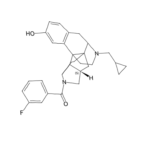 O=C(c1cccc(F)c1)N1C[C@H]2CC34CCC1C2C31CCN(CC2CC2)C4Cc2ccc(O)cc21